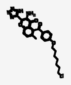 Cc1ccc2oc(-c3nnn[nH]3)c(N)c(=O)c2c1C(=O)c1ccc(OCCCCCCCCl)cc1